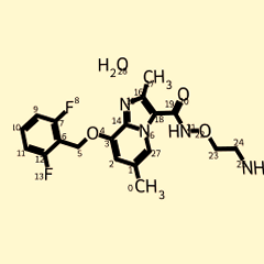 Cc1cc(OCc2c(F)cccc2F)c2nc(C)c(C(=O)NOCCN)n2c1.O